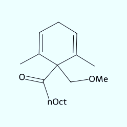 CCCCCCCCC(=O)C1(COC)C(C)=CCC=C1C